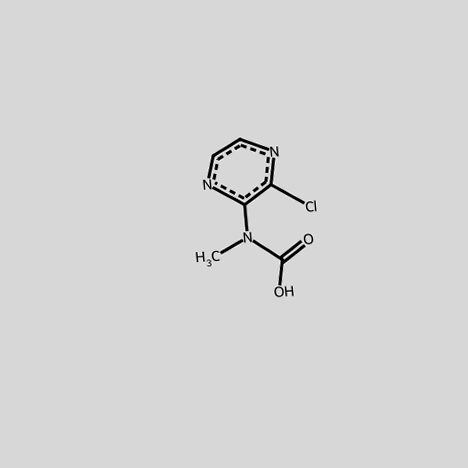 CN(C(=O)O)c1nccnc1Cl